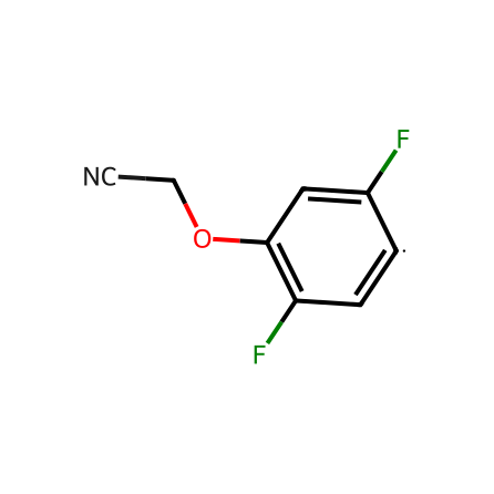 N#CCOc1cc(F)[c]cc1F